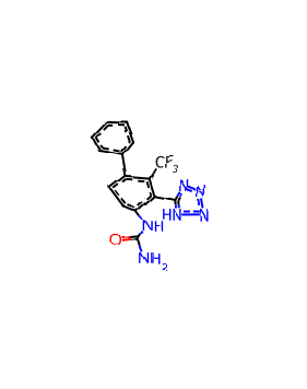 NC(=O)Nc1ccc(-c2ccccc2)c(C(F)(F)F)c1-c1nnn[nH]1